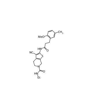 CCNC(=O)N1CCc2c(sc(NC(=O)CCc3cc(C)ccc3OC)c2C#N)C1